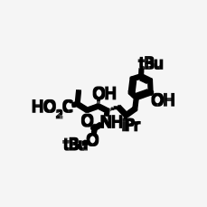 CC(C[C@H](O)[C@H](C[C@H](Cc1ccc(C(C)(C)C)cc1O)C(C)C)NC(=O)OC(C)(C)C)C(=O)O